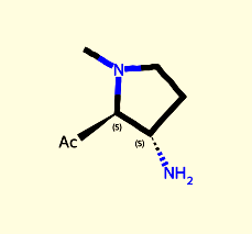 CC(=O)[C@@H]1[C@@H](N)CCN1C